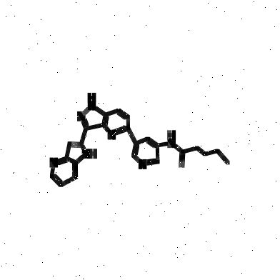 C=C(CCCC)Nc1cncc(-c2ccc3[nH]nc(-c4cc5ncccc5[nH]4)c3n2)c1